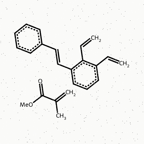 C=C(C)C(=O)OC.C=Cc1cccc(C=Cc2ccccc2)c1C=C